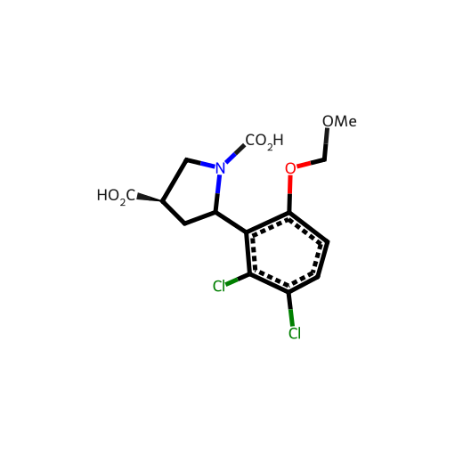 COCOc1ccc(Cl)c(Cl)c1C1C[C@@H](C(=O)O)CN1C(=O)O